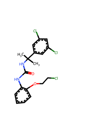 CC(C)(NC(=O)Nc1ccccc1OCCCl)c1cc(Cl)cc(Cl)c1